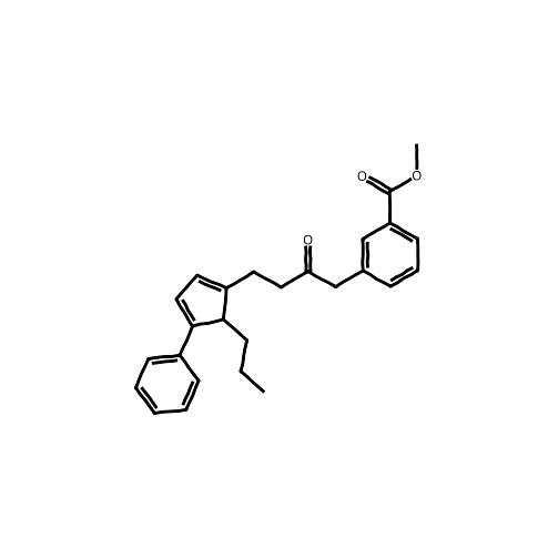 CCCC1C(CCC(=O)Cc2cccc(C(=O)OC)c2)=CC=C1c1ccccc1